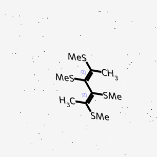 CS/C(C)=C(SC)/C(SC)=C(\C)SC